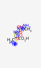 CC(Sc1nnn[nH]1)C1=C(OC(=O)O)N2C(=O)[C@@H](NC(=O)C(=NO)c3nc(N)n(C)n3)[C@@H]2SC1